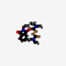 CN(C)C(=S)SSC(=S)N(C)C.O=C1C2CC=CCC2C(=O)N1SC(Cl)(Cl)Cl